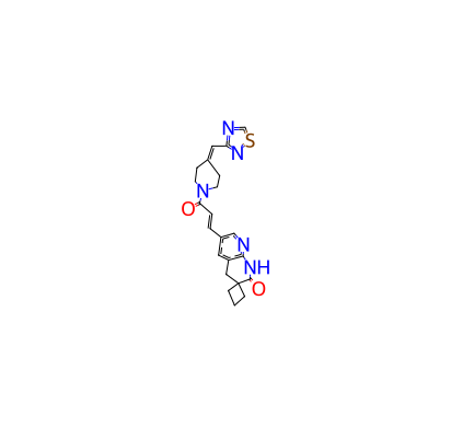 O=C(C=Cc1cnc2c(c1)CC1(CCC1)C(=O)N2)N1CCC(=Cc2ncsn2)CC1